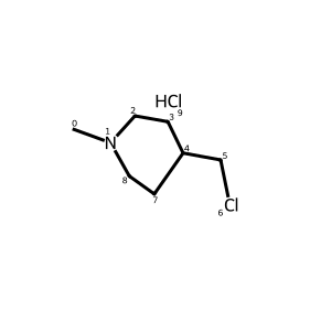 CN1CCC(CCl)CC1.Cl